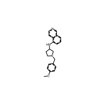 COc1ccc(CN2CCC(Nc3cccc4cnccc34)C2)cc1